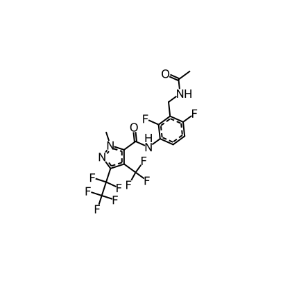 CC(=O)NCc1c(F)ccc(NC(=O)c2c(C(F)(F)F)c(C(F)(F)C(F)(F)F)nn2C)c1F